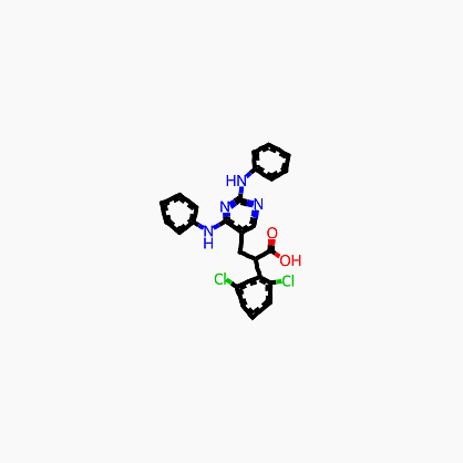 O=C(O)C(Cc1cnc(Nc2ccccc2)nc1Nc1ccccc1)c1c(Cl)cccc1Cl